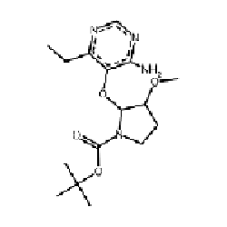 CCc1ncnc(N)c1OC1C(OC)CCN1C(=O)OC(C)(C)C